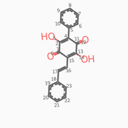 O=C1C(O)=C(c2ccccc2)C(=O)C(O)=C1C=Cc1ccccc1